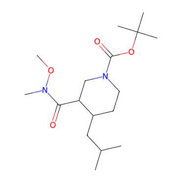 CON(C)C(=O)C1CN(C(=O)OC(C)(C)C)CCC1CC(C)C